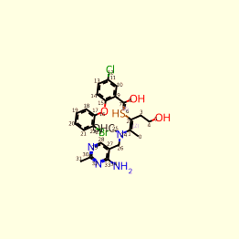 C/C(=C(CCO)/[SH]=C(\O)c1cc(Cl)ccc1Oc1ccccc1Br)N(C=O)Cc1cnc(C)nc1N